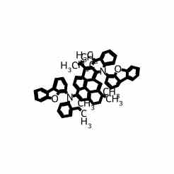 CC(C)c1ccccc1N(c1cc(C(C)C)c2ccc3c(N(c4ccccc4C(C)C)c4cccc5c4oc4ccccc45)cc4c5c(cc1c2c35)C(C)(C)CC4)c1cccc2c1oc1ccccc12